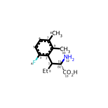 CCC(c1c(F)ccc(C)c1C)[C@H](N)C(=O)O